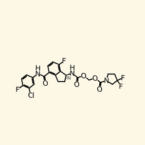 O=C(N[C@H]1CCc2c(C(=O)Nc3ccc(F)c(Cl)c3)ccc(F)c21)OCOC(=O)N1CCC(F)(F)C1